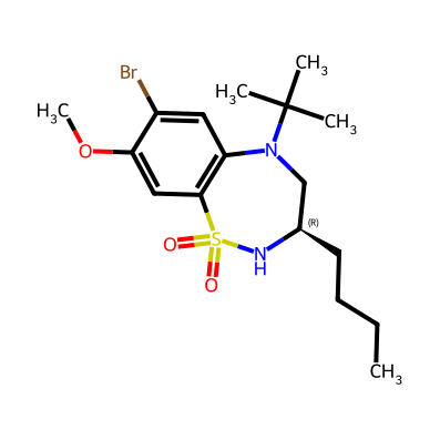 CCCC[C@@H]1CN(C(C)(C)C)c2cc(Br)c(OC)cc2S(=O)(=O)N1